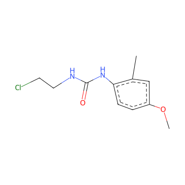 COc1ccc(NC(=O)NCCCl)c(C)c1